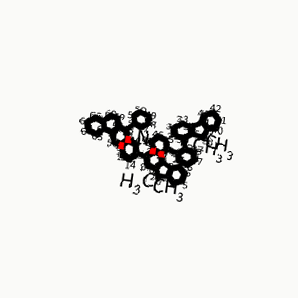 CC1(C)c2ccccc2-c2ccc(-c3ccccc3N(c3ccc(-c4ccccc4-c4cccc5c4C(C)(C)c4ccccc4-5)cc3)c3ccccc3-c3cccc4c3ccc3ccccc34)cc21